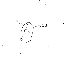 O=C1C2CC3CC(C2)C(C(=O)O)C1C3